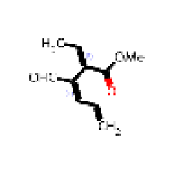 C=C/C=C(C=O)\C(=C/C)C(=O)OC